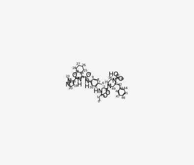 CCC(=O)N[C@H](Cc1ccc(NC(=O)[C@@H](NC(=O)c2ccnn2C)C2CCCCC2)cc1)C(=O)N1CCN(C(=O)O)[C@@H](Cc2ccccc2)C1